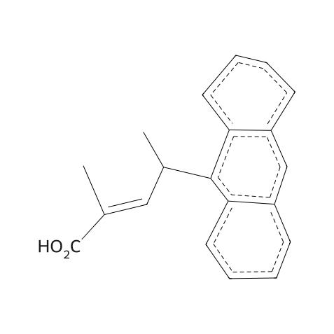 CC(=CC(C)c1c2ccccc2cc2ccccc12)C(=O)O